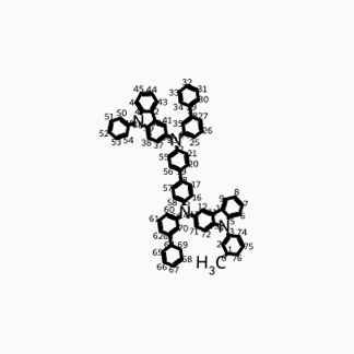 CC1C=C(n2c3ccccc3c3cc(N(c4ccc(-c5ccc(N(c6cccc(-c7ccccc7)c6)c6ccc7c(c6)c6ccccc6n7-c6ccccc6)cc5)cc4)c4cccc(C5C=CC=CC5)c4)ccc32)C=CC1